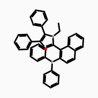 CCn1c(-c2c(P(c3ccccc3)c3ccccc3)ccc3ccccc23)nc(-c2ccccc2)c1-c1ccccc1